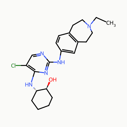 CCN1CCc2ccc(Nc3ncc(Cl)c(N[C@H]4CCCC[C@@H]4O)n3)cc2CC1